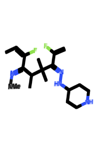 C=C(F)/C(=N/NC1CCNCC1)C(C)(C)C(C)C(=N\NC)/C(F)=C\C